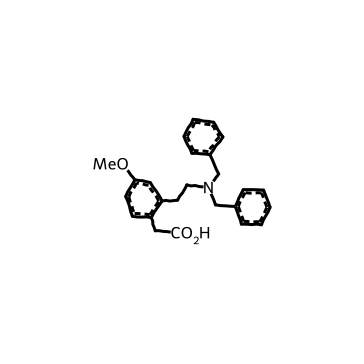 COc1ccc(CC(=O)O)c(CCN(Cc2ccccc2)Cc2ccccc2)c1